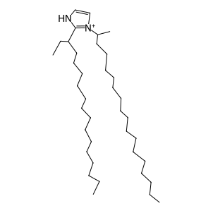 CCCCCCCCCCCCCCCCC(C)[n+]1cc[nH]c1C(CC)CCCCCCCCCCCCCC